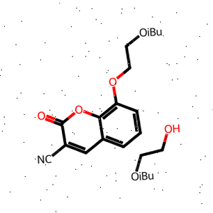 CC(C)COCCO.CC(C)COCCOc1cccc2cc(C#N)c(=O)oc12